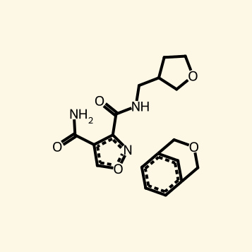 NC(=O)c1conc1C(=O)NCC1CCOC1.c1cc2cc(c1)COC2